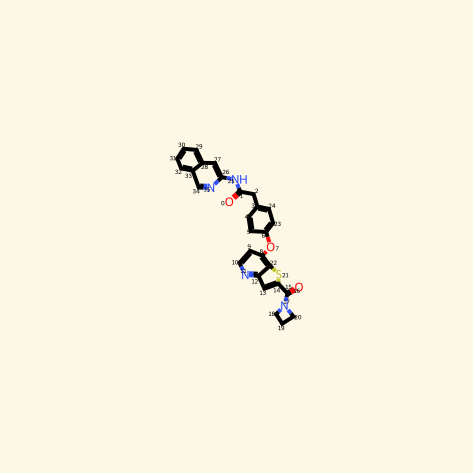 O=C(Cc1ccc(Oc2ccnc3cc(C(=O)N4CCC4)sc23)cc1)Nc1cc2ccccc2cn1